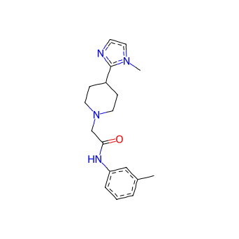 Cc1cccc(NC(=O)CN2CCC(c3nccn3C)CC2)c1